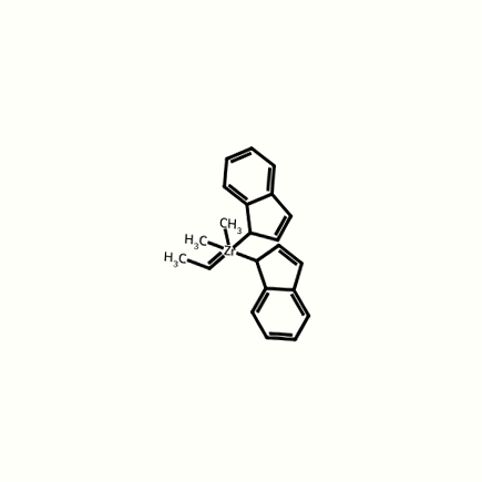 C[CH]=[Zr]([CH3])([CH3])([CH]1C=Cc2ccccc21)[CH]1C=Cc2ccccc21